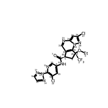 CCO[C@]1(C(F)(F)F)C[C@@H](C(=O)Nc2cnc(-n3nccn3)c(Cl)c2)c2cnc3cc(Cl)nn3c21